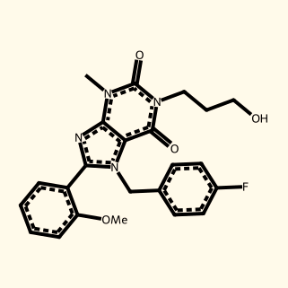 COc1ccccc1-c1nc2c(c(=O)n(CCCO)c(=O)n2C)n1Cc1ccc(F)cc1